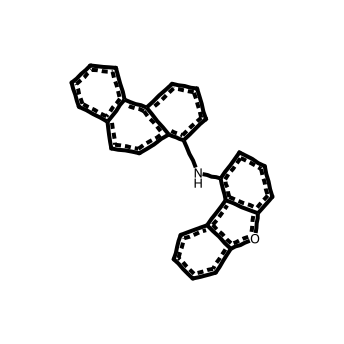 c1ccc2c(c1)ccc1c(Nc3cccc4oc5ccccc5c34)cccc12